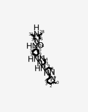 Cc1cccc(-c2nccc(Nc3ccnc(Nc4ccc(NC(=O)N5CC(C)NC(C)C5)cc4)n3)n2)n1